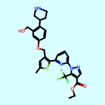 CCOC(=O)c1cnn(-c2cccc(-c3sc(C)cc3COc3ccc(C4CCNCC4)c(CO)c3)n2)c1C(F)(F)F